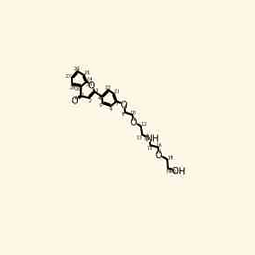 O=c1cc(-c2ccc(OCCOCCNCCOCCO)cc2)oc2ccccc12